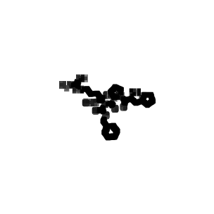 CCOC(=O)[C@@](C=O)(CCCNC(=N)N)N(C(=O)OCc1ccccc1)C(=O)[C@@H]1CCCN1C(=O)[C@H](N)CC1CCCC1